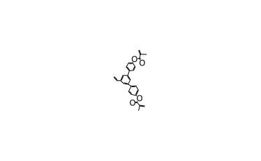 C=Cc1cc(-c2ccc(OC(=O)C(=C)C)cc2)cc(-c2ccc(OC(=O)C(=C)C)cc2)c1